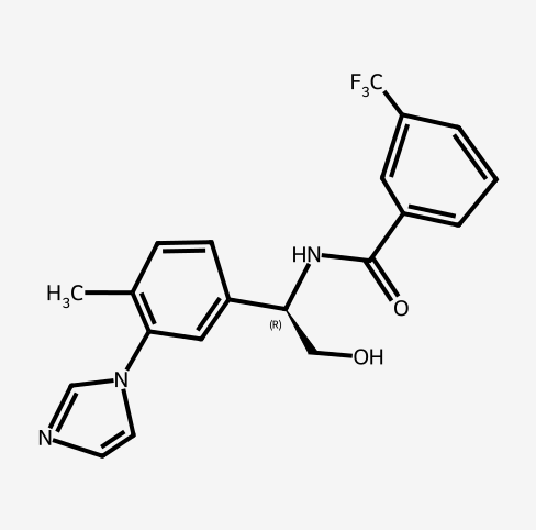 Cc1ccc([C@H](CO)NC(=O)c2cccc(C(F)(F)F)c2)cc1-n1ccnc1